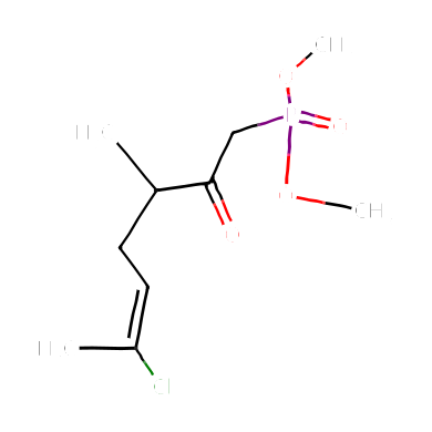 COP(=O)(CC(=O)C(C)C/C=C(\C)Cl)OC